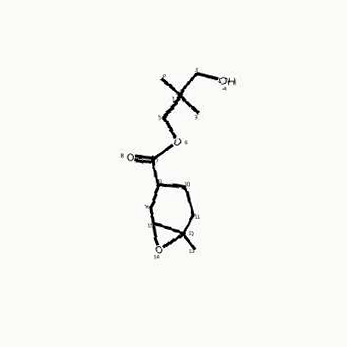 CC(C)(CO)COC(=O)C1CCC2(C)OC2C1